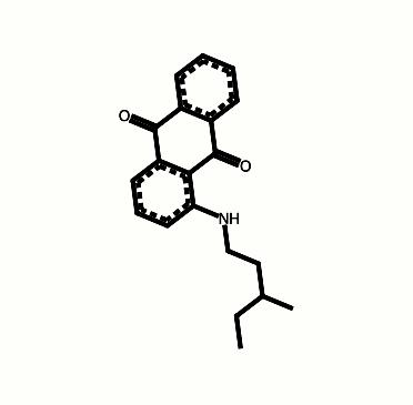 CCC(C)CCNc1cccc2c1C(=O)c1ccccc1C2=O